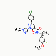 COc1ccc([C@H](C)NC(=O)c2cc(-c3ccc(Cl)cc3)nn(-c3cnn(C)c3)c2=O)cc1F